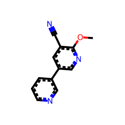 COc1ncc(-c2cccnc2)cc1C#N